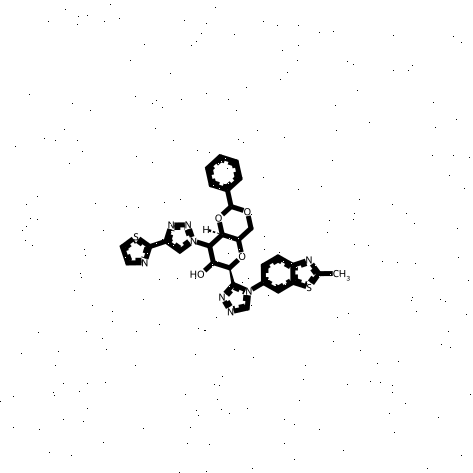 Cc1nc2ccc(-n3cnnc3[C@@H]3OC4COC(c5ccccc5)O[C@@H]4C(n4cc(-c5nccs5)nn4)C3O)cc2s1